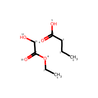 CCCC(=O)O.CCOC(=O)CO